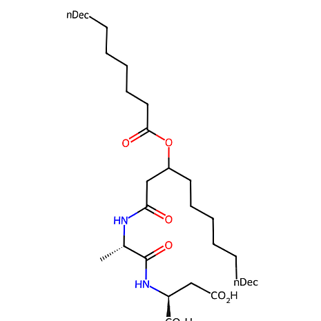 CCCCCCCCCCCCCCCC(=O)OC(CCCCCCCCCCCCCCC)CC(=O)N[C@@H](C)C(=O)N[C@@H](CC(=O)O)C(=O)O